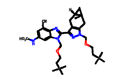 C[C@@]12Cc3c(c(-c4nc5c(C#N)cc(NC(=O)O)cc5n4COCC[Si](C)(C)C)nn3COCC[Si](C)(C)C)C[C@@H]1C2